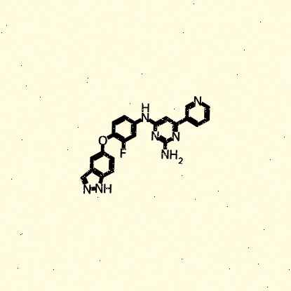 Nc1nc(Nc2ccc(Oc3ccc4[nH]ncc4c3)c(F)c2)cc(-c2cccnc2)n1